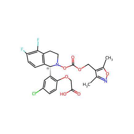 Cc1noc(C)c1COC(=O)ON1CCc2c(ccc(F)c2F)[C@H]1c1cc(Cl)ccc1OCC(=O)O